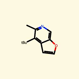 Cc1ncc2occc2c1C(C)(C)C